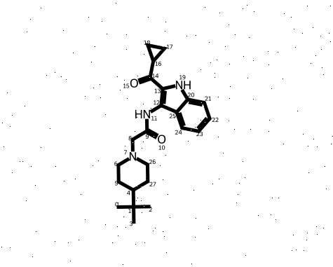 CC(C)(C)C1CCN(CC(=O)Nc2c(C(=O)C3CC3)[nH]c3ccccc23)CC1